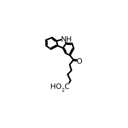 O=C(O)CCCCC(=O)c1ccc2[nH]c3ccccc3c2c1